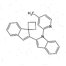 Cc1ccnc(-n2c(C3=Cc4ccccc4C34CCC4)cc3ccccc32)c1